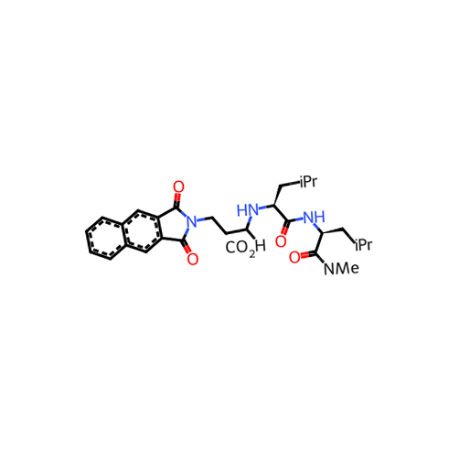 CNC(=O)[C@H](CC(C)C)NC(=O)[C@H](CC(C)C)NC(CCN1C(=O)c2cc3ccccc3cc2C1=O)C(=O)O